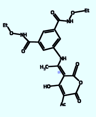 CCONC(=O)c1cc(N/C(C)=C2\C(=O)OC(=O)C(C(C)=O)=C2O)cc(C(=O)NOCC)c1